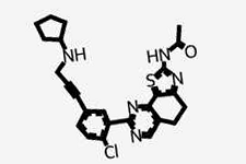 CC(=O)Nc1nc2c(s1)-c1nc(-c3cc(C#CCNC4CCCC4)ccc3Cl)ncc1CC2